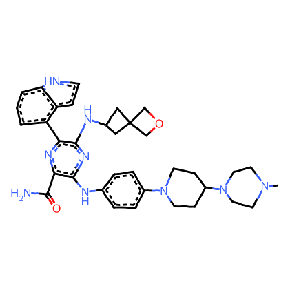 CN1CCN(C2CCN(c3ccc(Nc4nc(NC5CC6(COC6)C5)c(-c5cccc6[nH]ccc56)nc4C(N)=O)cc3)CC2)CC1